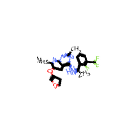 CSc1nc2nc(C)nc(N[C@H](C)c3cccc(C(F)F)c3F)c2cc1O[C@H]1CCOC1